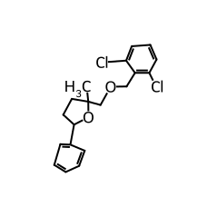 CC1(COCc2c(Cl)cccc2Cl)CCC(c2ccccc2)O1